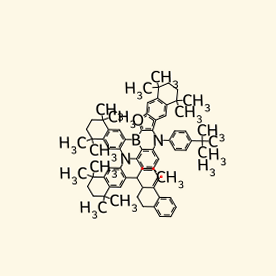 Cc1cc2c3c(c1)N(c1ccc(C(C)(C)C)cc1)c1c(oc4cc5c(cc14)C(C)(C)CCC5(C)C)B3c1cc3c(cc1N2c1cc2c(cc1C1C=CC=C4c5ccccc5CCC41)C(C)(C)CCC2(C)C)C(C)(C)CCC3(C)C